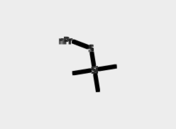 CCCS[Si](C)(C)C